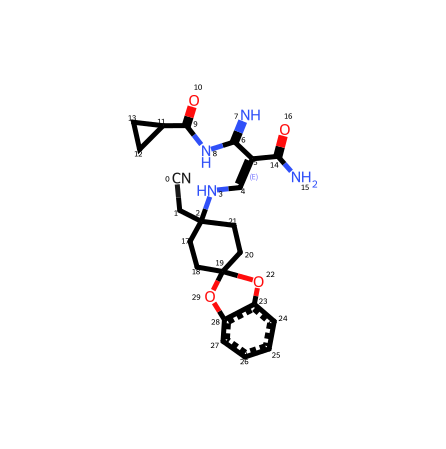 N#CCC1(N/C=C(\C(=N)NC(=O)C2CC2)C(N)=O)CCC2(CC1)Oc1ccccc1O2